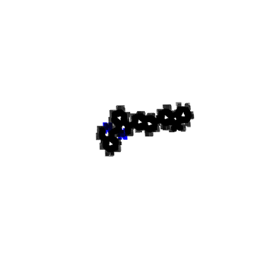 CC1(C)c2ccccc2-c2ccc(-c3ccc4cc(-c5cnc(-c6nccc7ccccc67)c6ccccc56)ccc4c3)cc21